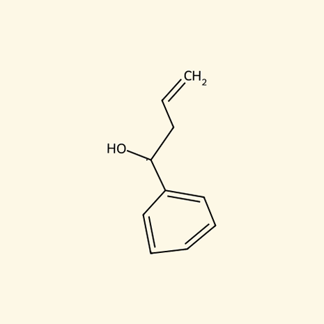 C=CC[C](O)c1ccccc1